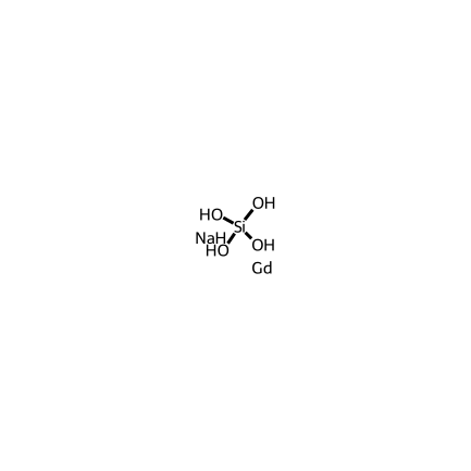 O[Si](O)(O)O.[Gd].[NaH]